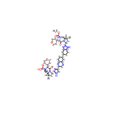 COC(=O)N[C@H](C(=O)N1[C@@H]2C[C@H]2C[C@H]1c1nc2cc(-c3ccc4nc(-c5c[nH]c([C@@H]6C[C@H]7C[C@H]7N6C(=O)[C@H](C6CCOCC6)N(C)C(=O)O)n5)cnc4c3)ccc2[nH]1)C1CCOCC1